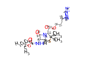 CC(C)(C)OC(=O)N[C@@H]1C(=O)N2C(C(=O)OCCCN=[N+]=[N-])C(C)(C)S[C@H]12